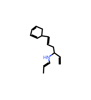 C=CC(C/C=C/C1C=CC=CC1)N/C=C/C